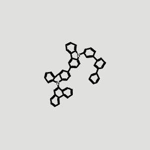 c1ccc(-c2cccc(-c3cccc(-n4c5ccccc5c5cc(-c6ccc7c(c6)c6ccccc6n7-c6cc7ccccc7c7ccccc67)ccc54)c3)c2)cc1